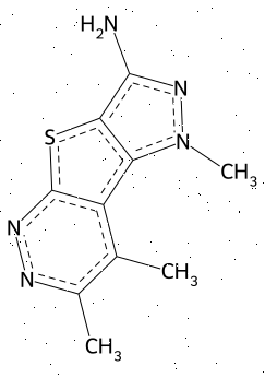 Cc1nnc2sc3c(N)nn(C)c3c2c1C